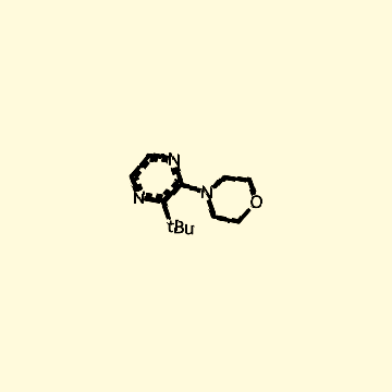 CC(C)(C)c1nccnc1N1CCOCC1